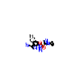 Cc1ccc(NS(=O)(=O)c2cnn(C34CC(C3)C4)c2)c2[nH]cc(C#N)c12